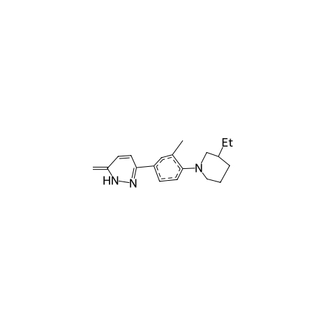 C=C1C=CC(c2ccc(N3CCCC(CC)C3)c(C)c2)=NN1